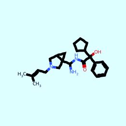 CC(C)=CCN1CC2CC2(C(N)NC(=O)C(O)(c2ccccc2)C2CCCC2)C1